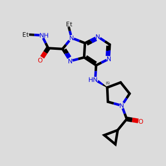 CCNC(=O)c1nc2c(N[C@H]3CCN(C(=O)C4CC4)C3)ncnc2n1CC